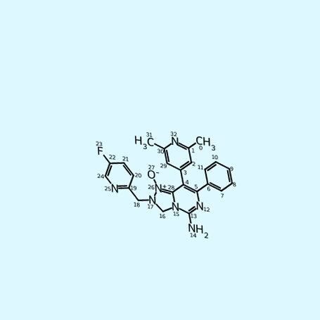 Cc1cc(C2=C(c3ccccc3)N=C(N)N3CN(Cc4ccc(F)cn4)[N+]([O-])=C23)cc(C)n1